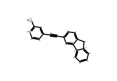 Cc1cc(C#Cc2ccc3c(c2)-c2ccccc2C3)ccn1